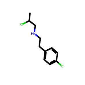 CC(Cl)CNCCc1ccc(Cl)cc1